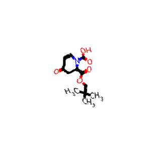 CC(C)(C)COC(=O)C1CC(=O)CCN1C(=O)O